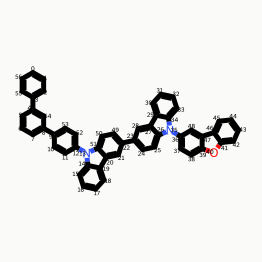 c1ccc(-c2cccc(-c3ccc(-n4c5ccccc5c5cc(-c6ccc7c(c6)c6ccccc6n7-c6ccc7oc8ccccc8c7c6)ccc54)cc3)c2)cc1